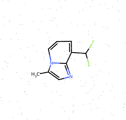 Cc1cnc2c(C(F)F)cccn12